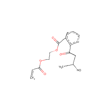 C=CC(=O)OCCOC(=O)c1ccccc1C(=O)CC(C)N=O